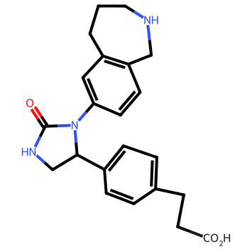 O=C(O)CCc1ccc(C2CNC(=O)N2c2ccc3c(c2)CCCNC3)cc1